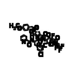 COc1ccc(CS(=O)(=O)[C@@H]2C[C@@H](C(=O)NC(C(=O)C(F)(F)C(=O)NCC(F)(F)F)C(C)C)N(C(=O)C(Cc3cccc(Cl)c3)NC(=O)c3ccccn3)C2)cc1